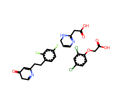 O=C(O)CC1=NC=CCN1.O=C(O)COc1ccc(Cl)cc1Cl.O=C1C=C(CCc2ccc(F)cc2F)N=CC1